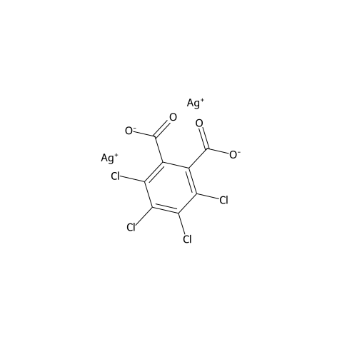 O=C([O-])c1c(Cl)c(Cl)c(Cl)c(Cl)c1C(=O)[O-].[Ag+].[Ag+]